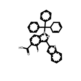 O=C(O)c1ccc2c(c(-c3cc4ccccc4s3)nn2C(c2ccccc2)(c2ccccc2)C2C=CC=CC2)c1F